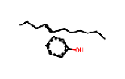 CCCC=CCCCCCC.Oc1ccccc1